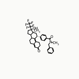 CN(Cc1ccccc1)C(=O)c1ccc([C@H]2C[C@@]3(C)C(CC[C@]3(O)C(F)(F)C(F)(F)F)C3CCC4=CC(=O)CCC4=C32)cc1